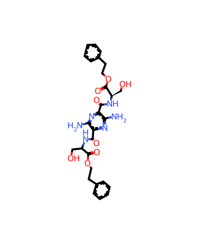 Nc1nc(C(=O)N[C@H](CO)C(=O)OCCc2ccccc2)c(N)nc1C(=O)NC(CO)C(=O)OCCc1ccccc1